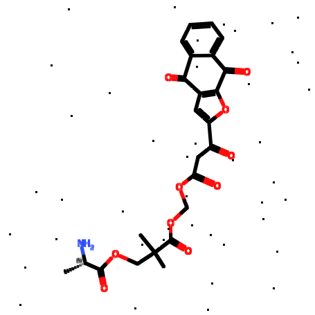 C[C@H](N)C(=O)OCC(C)(C)C(=O)OCOC(=O)CC(=O)c1cc2c(o1)C(=O)c1ccccc1C2=O